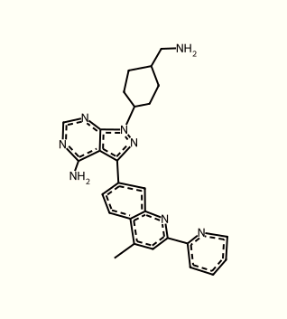 Cc1cc(-c2ccccn2)nc2cc(-c3nn(C4CCC(CN)CC4)c4ncnc(N)c34)ccc12